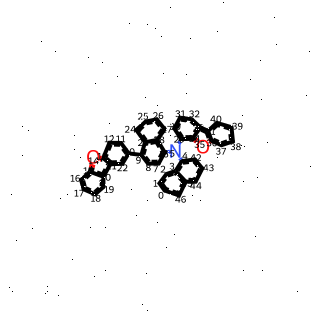 c1ccc2c(N(c3ccc(-c4ccc5oc6ccccc6c5c4)c4ccccc34)c3cccc4c3oc3ccccc34)cccc2c1